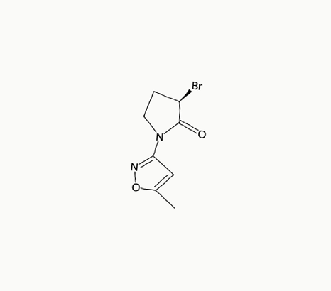 Cc1cc(N2CC[C@@H](Br)C2=O)no1